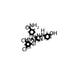 NC(=O)C1CCC(n2c(Nc3c(Cl)cc(Cl)cc3Cl)nc3cnc(N[C@H]4CCC[C@@H](O)C4)nc32)CC1